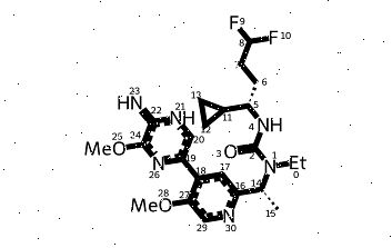 CCN(C(=O)N[C@@H](CCC(F)F)C1CC1)[C@H](C)c1cc(-c2c[nH]c(=N)c(OC)n2)c(OC)cn1